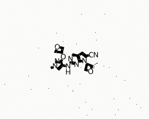 C[C@@H]1OCC1n1c(C#N)cc2cnc(Nc3cn(C)nc3OC3COC3)nc21